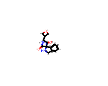 NC(=O)C1(C(=O)CC2COC2)NCc2ccccc21